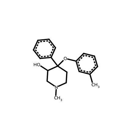 Cc1cccc(OC2(c3ccccc3)CCN(C)CC2O)c1